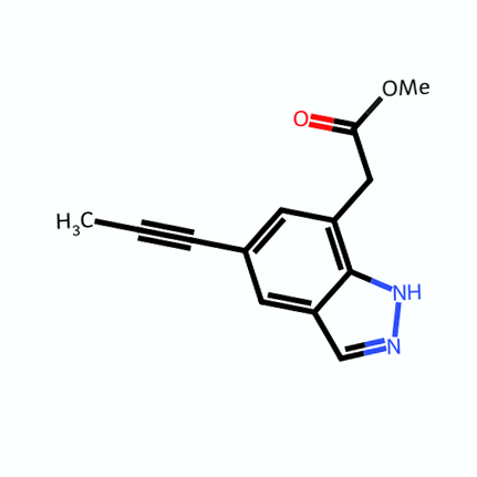 CC#Cc1cc(CC(=O)OC)c2[nH]ncc2c1